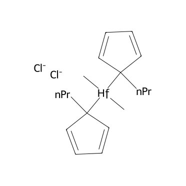 CCC[C]1([Hf]([CH3])([CH3])[C]2(CCC)C=CC=C2)C=CC=C1.[Cl-].[Cl-]